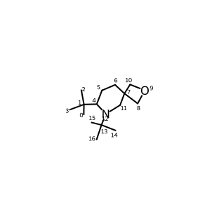 CC(C)(C)C1CCC2(COC2)CN1C(C)(C)C